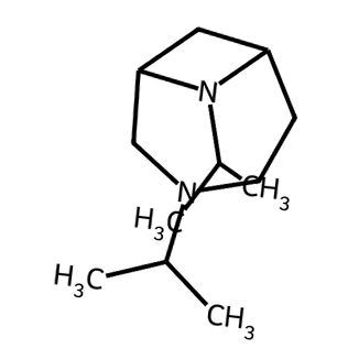 CC(C)N1CCC2CC(C1)N2C(C)C